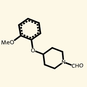 COc1ccccc1OC1CCN(C=O)CC1